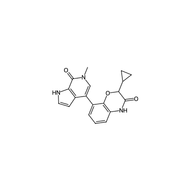 Cn1cc(-c2cccc3c2OC(C2CC2)C(=O)N3)c2cc[nH]c2c1=O